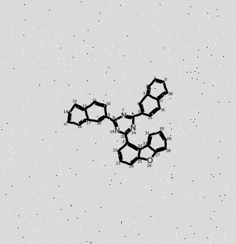 c1ccc2cc(-c3nc(-c4ccc5ccccc5c4)nc(-c4cccc5oc6ccccc6c45)n3)ccc2c1